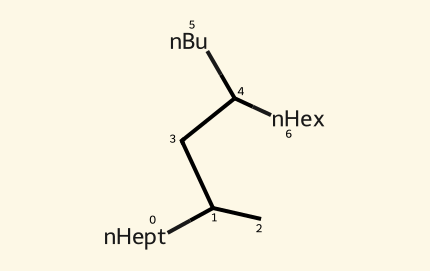 CCCCCCCC(C)CC(CCCC)CCCCCC